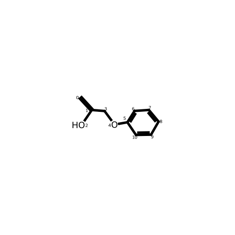 C=C(O)COc1ccccc1